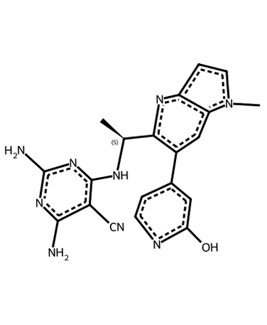 C[C@H](Nc1nc(N)nc(N)c1C#N)c1nc2ccn(C)c2cc1-c1ccnc(O)c1